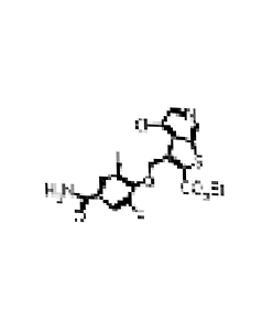 CCOC(=O)c1sc2cncc(Cl)c2c1COc1c(F)cc(C(N)=O)cc1F